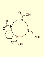 CC12CCCCC1N(C(=O)O)CCN(CCO)CCN(C(=O)O)CCN2C(=O)O